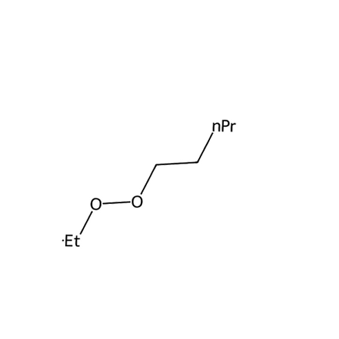 C[CH]OOCCCCC